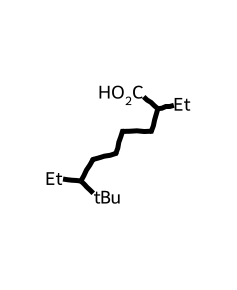 CCC(CCCCC(CC)C(C)(C)C)C(=O)O